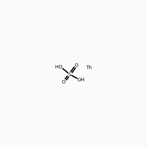 O=S(=O)(O)O.[Th]